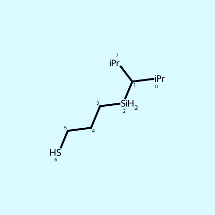 CC(C)C([SiH2]CCCS)C(C)C